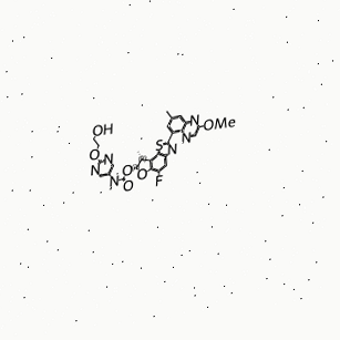 COc1cnc2c(-c3nc4cc(F)c5c(c4s3)[C@@H](C)[C@@H](OC(=O)N(C)c3cnc(OCCO)nc3)O5)cc(C)cc2n1